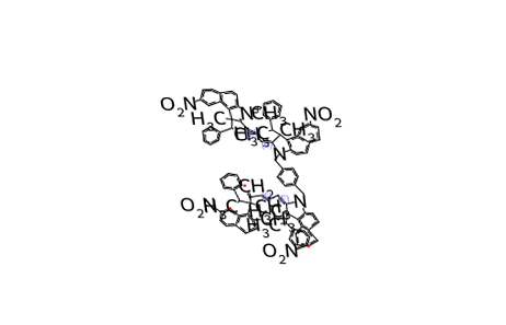 C=C(/C=C/C=C1/N(Cc2ccc(CN3/C(=C/C=C/C4=[N+](C)c5ccc6ccc([N+](=O)[O-])cc6c5C4(C)C(C)c4ccccc4)C(C)(C(C)c4ccccc4)c4c3ccc3ccc([N+](=O)[O-])cc43)cc2)c2ccc3ccc([N+](=O)[O-])cc3c2C1(C)C(C)c1ccccc1)C(C)(c1c(C)ccc2ccc([N+](=O)[O-])cc12)C(C)c1ccccc1